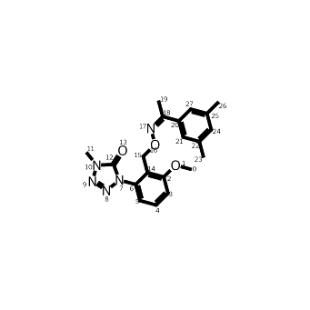 COc1cccc(-n2nnn(C)c2=O)c1CON=C(C)c1cc(C)cc(C)c1